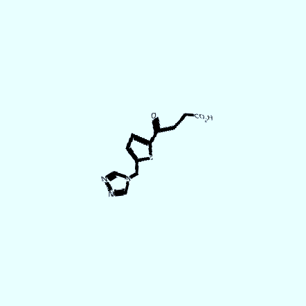 O=C(O)CCC(=O)c1ccc(Cn2cnnc2)s1